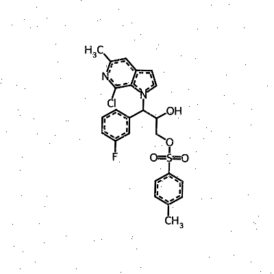 Cc1ccc(S(=O)(=O)OCC(O)C(c2cccc(F)c2)n2ccc3cc(C)nc(Cl)c32)cc1